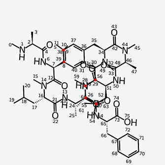 CN[C@@H](C)C(=O)N[C@@H](CC(C)C)C(=O)N(C)[C@@H](CC(C)C)C(=O)N[C@@H](C)C(=O)NCC(=O)N(C)[C@@H](Cc1ccccc1)C(=O)N(C)[C@@H](C)C(=O)N[C@@H](CC(C)C)C(=O)N(C)[C@@H](C)C(=O)N[C@@H](Cc1ccccc1)C(=O)O